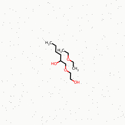 CCCCC(O)COCCO.CCOCC